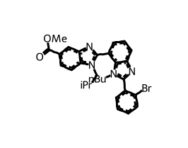 CCCCn1c(-c2ccccc2Br)nc2cccc(-c3nc4cc(C(=O)OC)ccc4n3CC(C)C)c21